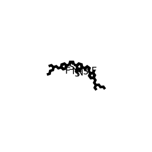 CCCCC(CC)CCc1ccc(-c2ccc(-c3ccc(-c4ccc(-c5ccc(CCC(CC)CCCC)cc5F)s4)c4nsnc34)s2)c(F)c1